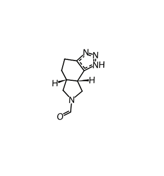 O=CN1C[C@@H]2CCc3nn[nH]c3[C@@H]2C1